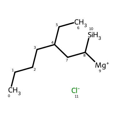 CCCCC(CC)C[CH]([Mg+])[SiH3].[Cl-]